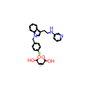 Fc1ccc(Cn2cc(CCNc3cccnc3)c3ccccc32)cc1.O=C(O)/C=C\C(=O)O